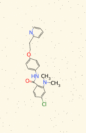 CN(C)c1cc(Cl)ccc1C(=O)Nc1ccc(OCCc2ccc[c]n2)cc1